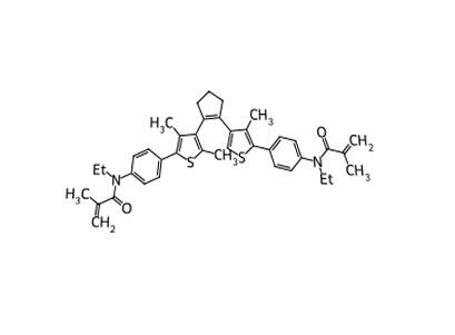 C=C(C)C(=O)N(CC)c1ccc(-c2scc(C3=C(c4c(C)sc(-c5ccc(N(CC)C(=O)C(=C)C)cc5)c4C)CCC3)c2C)cc1